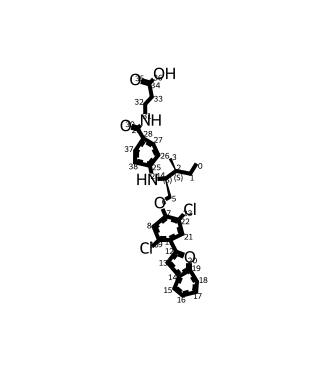 CC[C@H](C)[C@@H](COc1cc(Cl)c(-c2cc3ccccc3o2)cc1Cl)Nc1ccc(C(=O)NCCC(=O)O)cc1